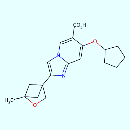 CC12CC(c3cn4cc(C(=O)O)c(OC5CCCC5)cc4n3)(CO1)C2